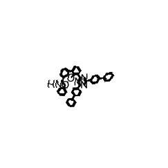 c1ccc(-c2ccc(-c3nc(-c4ccc(-c5ccccc5)cc4)nc(-c4cccc5c4oc4c(C6Nc7ccccc7O6)cccc45)n3)cc2)cc1